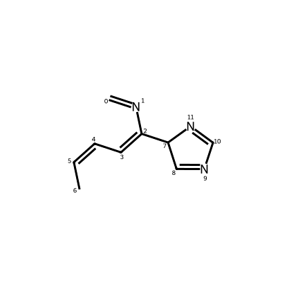 C=N/C(=C\C=C/C)C1C=NC=N1